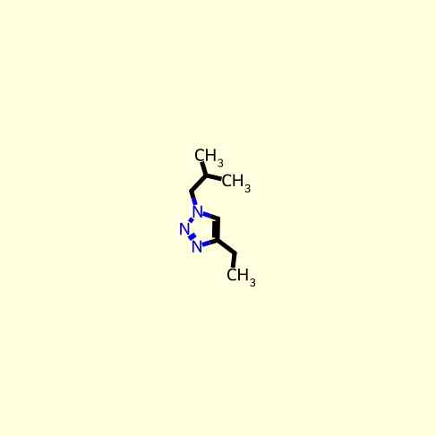 CCc1cn(CC(C)C)nn1